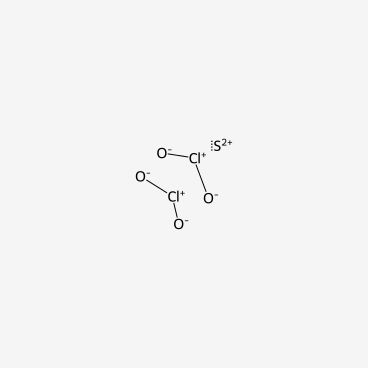 [O-][Cl+][O-].[O-][Cl+][O-].[S+2]